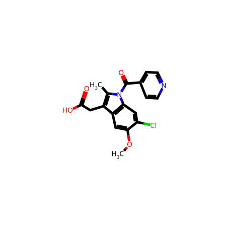 COc1cc2c(CC(=O)O)c(C)n(C(=O)c3ccncc3)c2cc1Cl